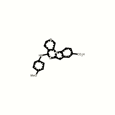 COc1ccc(Nc2nc3cc4cc(C(=O)O)ccc4n3c3cnccc23)cc1